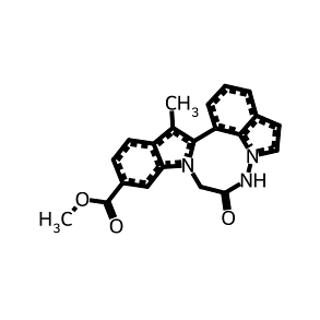 COC(=O)c1ccc2c(C)c3n(c2c1)CC(=O)Nn1ccc2cccc-3c21